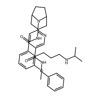 COc1cccc(C(=O)NC2CC3CCC(C2)N3c2ccc(C(=O)NCc3ccccc3)cn2)c1CCCNC(C)C